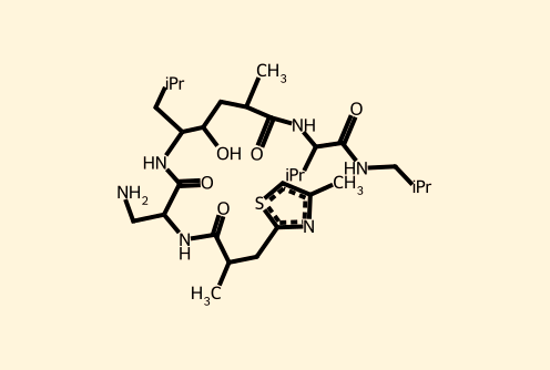 Cc1csc(CC(C)C(=O)NC(CN)C(=O)NC(CC(C)C)C(O)CC(C)C(=O)NC(C(=O)NCC(C)C)C(C)C)n1